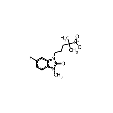 Cn1c(=O)n(CCCC(C)(C)[N+](=O)[O-])c2cc(F)ccc21